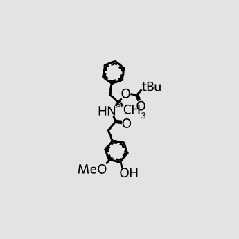 COc1cc(CC(=O)N[C@](C)(Cc2ccccc2)OC(=O)C(C)(C)C)ccc1O